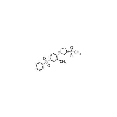 Cc1cc(S(=O)(=O)c2ccccc2)ccc1[C@@H]1CCN(S(C)(=O)=O)C1